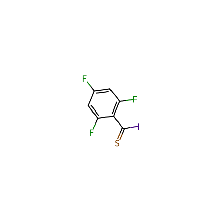 Fc1cc(F)c(C(=S)I)c(F)c1